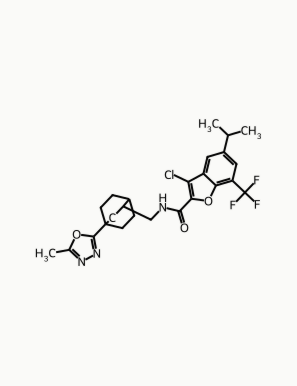 Cc1nnc(C23CCC(CC2)C(CNC(=O)c2oc4c(C(F)(F)F)cc(C(C)C)cc4c2Cl)C3)o1